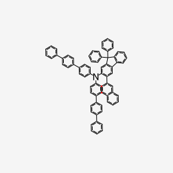 c1ccc(-c2ccc(-c3ccc(N(c4ccc(-c5ccc(-c6ccccc6)cc5)cc4)c4cc5c(cc4-c4ccc6ccccc6c4)-c4ccccc4C5(c4ccccc4)c4ccccc4)cc3)cc2)cc1